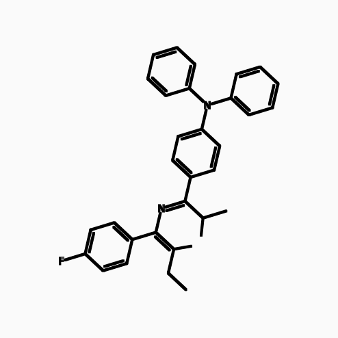 CC/C(C)=C(/N=C(/c1ccc(N(c2ccccc2)c2ccccc2)cc1)C(C)C)c1ccc(F)cc1